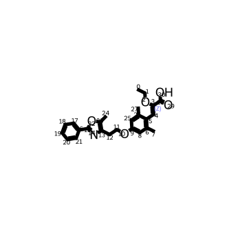 CCO/C(=C\c1c(C)cc(OCCc2nc(-c3ccccc3)oc2C)cc1C)C(=O)O